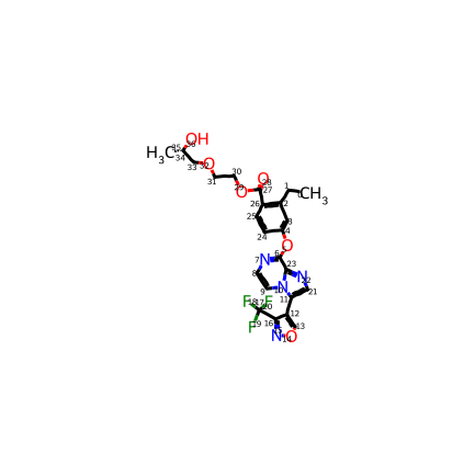 CCc1cc(Oc2nccn3c(-c4conc4C(F)(F)F)cnc23)ccc1C(=O)OCCOC[C@H](C)O